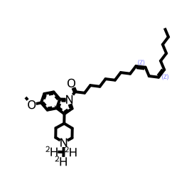 [2H]C([2H])([2H])N1CCC(c2cn(C(=O)CCCCCCC/C=C\C/C=C\CCCCC)c3ccc(OC)cc23)CC1